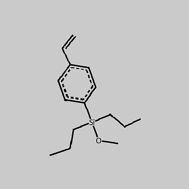 C=Cc1ccc([Si](CCC)(CCC)OC)cc1